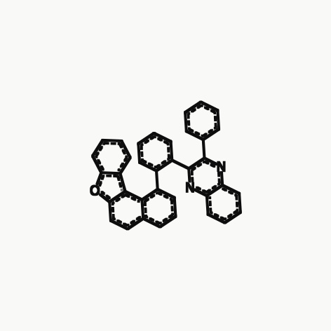 c1ccc(-c2nc3ccccc3nc2-c2ccccc2-c2cccc3ccc4oc5ccccc5c4c23)cc1